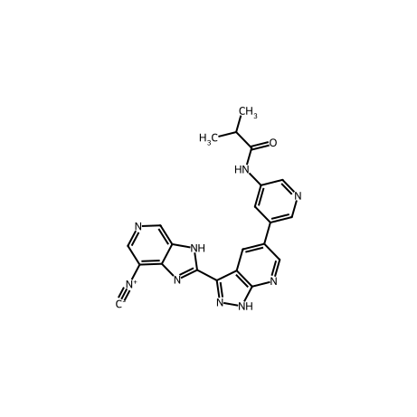 [C-]#[N+]c1cncc2[nH]c(-c3n[nH]c4ncc(-c5cncc(NC(=O)C(C)C)c5)cc34)nc12